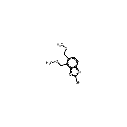 COCc1ccc2nc(S)oc2c1COC